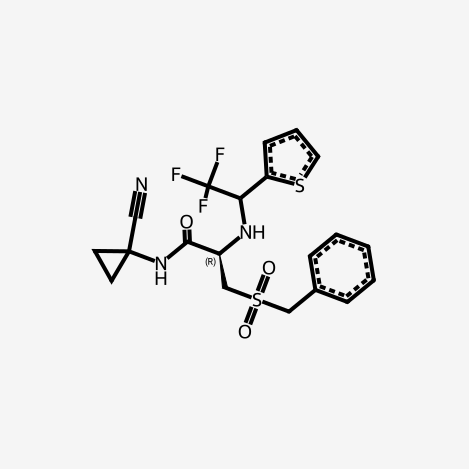 N#CC1(NC(=O)[C@H](CS(=O)(=O)Cc2ccccc2)NC(c2cccs2)C(F)(F)F)CC1